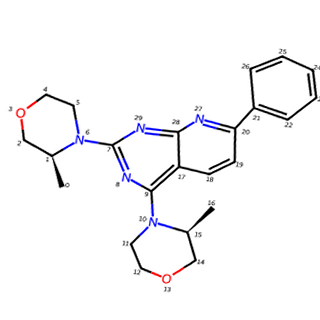 C[C@H]1COCCN1c1nc(N2CCOC[C@@H]2C)c2ccc(-c3ccccc3)nc2n1